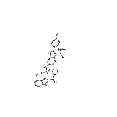 CNC(=O)c1c(-c2ccc(F)cc2)oc2cc(N(C)S(C)(=O)=O)c([C@@H]3CCN(C(=O)c4cc5c(F)cccc5n4C)C3)cc12